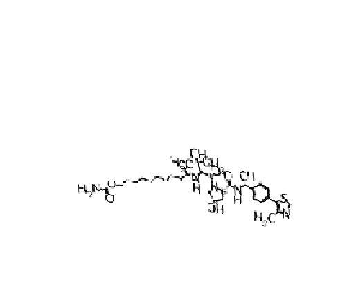 Cc1ncsc1-c1ccc(C(C)NC(=O)[C@@H]2C[C@@H](O)CN2C(=O)C(NC(=O)CCCCCCCCCOC(N)=O)C(C)(C)C)cc1